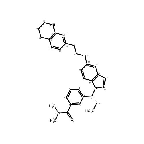 CN(C)C(=O)c1cccc([C@@H](CC(=O)O)n2ncc3cc(OCCc4ccc5c(n4)NCCC5)ccc32)c1